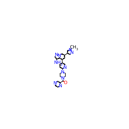 Cn1cc(-c2cc(-c3ccc(N4CCN(C(=O)c5cnccn5)CC4)nc3)c3c(N)cnn3c2)cn1